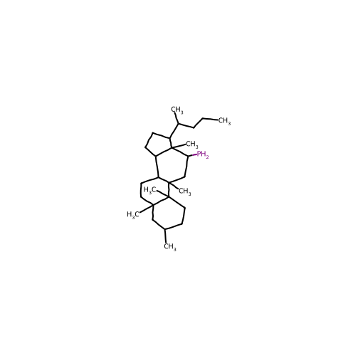 CCCC(C)C1CCC2C3CCC4(C)CC(C)CCC4(C)C3(C)CC(P)C12C